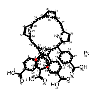 O=C(O)c1ccc(-c2c(-c3ccc(C(=O)O)cc3)c3c(-c4ccc(C(=O)O)cc4)c4nc(cc5ccc(cc6nc(cc2n3-c2ccc(C(=O)O)cc2)C=C6)[nH]5)C=C4)cc1.[Pt]